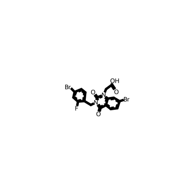 O=C(O)Cn1c(=O)n(Cc2ccc(Br)cc2F)c(=O)c2ccc(Br)cc21